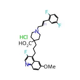 COc1ccc2ncc(F)c(CCCC3(C(=O)O)CCN(C/C=C/c4cc(F)ccc4F)CC3)c2c1.Cl